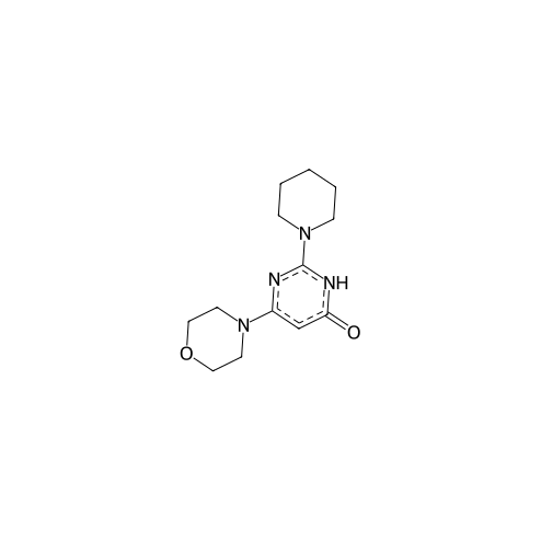 O=c1cc(N2CCOCC2)nc(N2CCCCC2)[nH]1